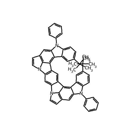 CC(C)(C)c1ccc2c(c1)c1c3c4cc5c6c7c8cc(C(C)(C)C)ccc8n(-c8ccccc8)c7cc7ccn(c5cc4n4ccc(cc1n2-c1ccccc1)c34)c76